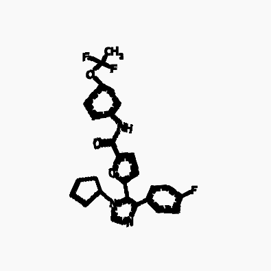 CC(F)(F)Oc1ccc(NC(=O)c2ccc(-c3c(-c4ccc(F)cc4)ncn3C3CCCC3)o2)cc1